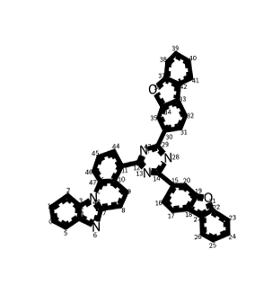 c1ccc2c(c1)nc1ccc3c(-c4nc(-c5ccc6c(c5)oc5ccccc56)nc(-c5ccc6c(c5)oc5ccccc56)n4)cccc3n12